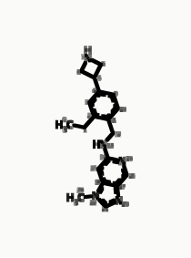 CCc1cc(C2CNC2)ccc1CNc1cc2c(cn1)ncn2C